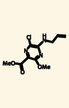 C=CCNc1nc(OC)c(C(=O)OC)nc1Cl